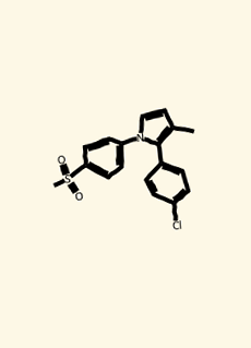 Cc1ccn(-c2ccc(S(C)(=O)=O)cc2)c1-c1ccc(Cl)cc1